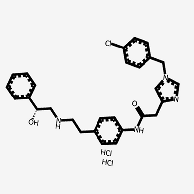 Cl.Cl.O=C(Cc1cn(Cc2ccc(Cl)cc2)cn1)Nc1ccc(CCNC[C@H](O)c2ccccc2)cc1